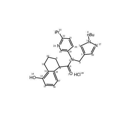 CCCCn1cc(CN(C(=O)C2CCCc3c(O)cccc32)c2ccc(C(C)C)nc2)cn1.Cl